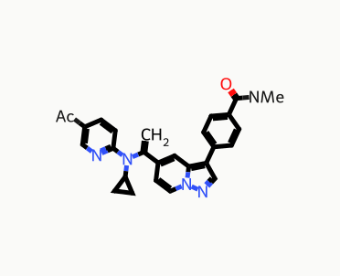 C=C(c1ccn2ncc(-c3ccc(C(=O)NC)cc3)c2c1)N(c1ccc(C(C)=O)cn1)C1CC1